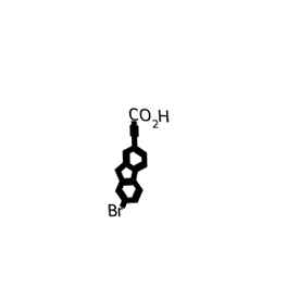 O=C(O)C#Cc1ccc2c(c1)Cc1cc(Br)ccc1-2